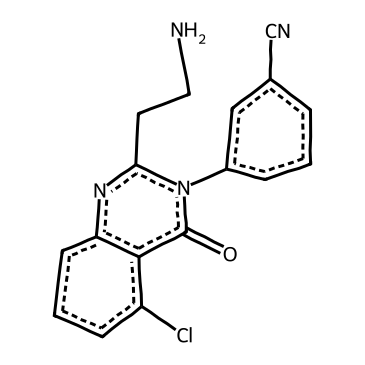 N#Cc1cccc(-n2c(CCN)nc3cccc(Cl)c3c2=O)c1